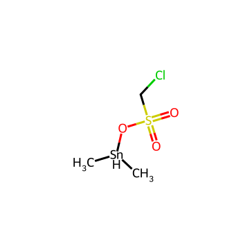 [CH3][SnH]([CH3])[O]S(=O)(=O)CCl